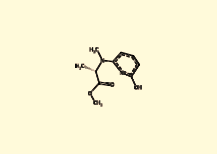 COC(=O)[C@H](C)N(C)c1cccc(O)n1